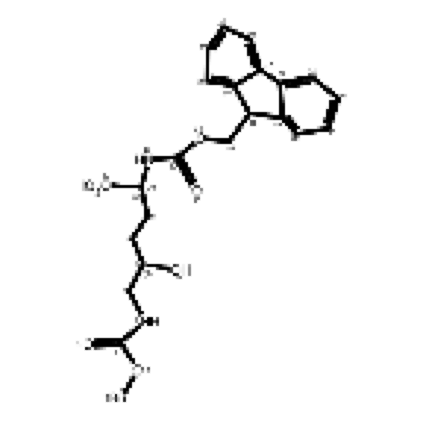 CC(C)(C)OC(=O)NC[C@H](O)CC[C@H](NC(=O)OCC1c2ccccc2-c2ccccc21)C(=O)O